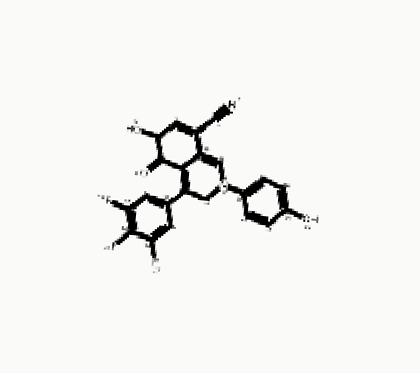 N#CC1=CC(O)C(=O)C2=C(c3cc(F)c(F)c(F)c3)CN(c3ccc(O)cc3)C=C12